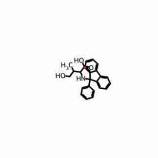 CC(CO)C(NC1(c2ccccc2)c2ccccc2-c2ccccc21)C(=O)O